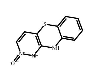 O=[n+]1ccc2c([nH]1)Nc1ccccc1S2